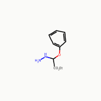 CCOC(=O)C(NN)Oc1ccccc1